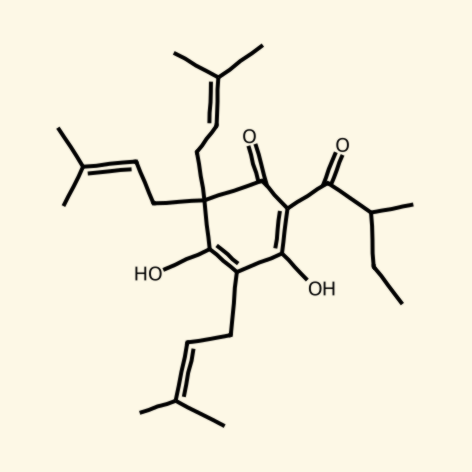 CCC(C)C(=O)C1=C(O)C(CC=C(C)C)=C(O)C(CC=C(C)C)(CC=C(C)C)C1=O